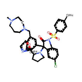 COc1ccc(S(=O)(=O)N2C(=O)C(c3cc(CN4CCCN(C)CC4)ccc3OC)(N3CCCC3c3ncco3)c3cc(Cl)ccc32)cc1